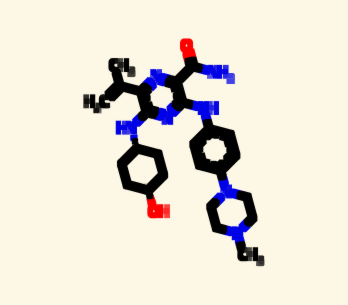 C=C(C)c1nc(C(N)=O)c(Nc2ccc(N3CCN(C)CC3)cc2)nc1N[C@H]1CC[C@H](O)CC1